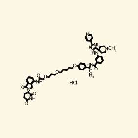 C[C@H](NC(=O)c1cccc(NC2(c3nnc(-c4ccncc4)[nH]3)CCN(C)CC2)c1)c1ccc(OCCCCCOCCCOCC(=O)Nc2cccc3c2CN(C2CCC(=O)NC2=O)C3=O)cc1.Cl